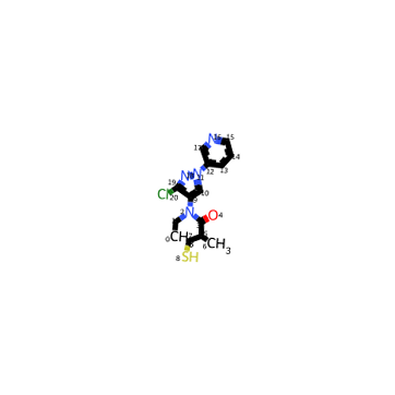 CCN(C(=O)C(C)CS)c1cn(-c2cccnc2)nc1Cl